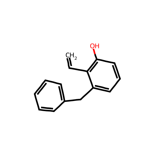 C=Cc1c(O)cccc1Cc1ccccc1